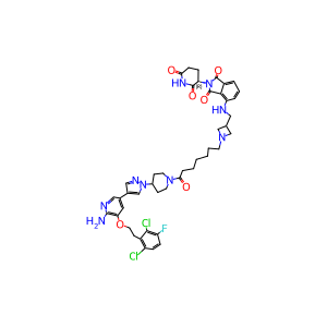 Nc1ncc(-c2cnn(C3CCN(C(=O)CCCCCCN4CC(CNc5cccc6c5C(=O)N([C@@H]5CCC(=O)NC5=O)C6=O)C4)CC3)c2)cc1OCCc1c(Cl)ccc(F)c1Cl